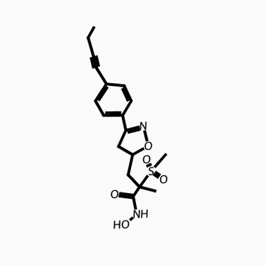 CCC#Cc1ccc(C2=NOC(CC(C)(C(=O)NO)S(C)(=O)=O)C2)cc1